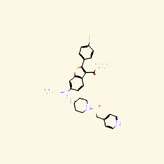 CNC(=O)c1c(-c2ccc(F)cc2)oc2cc(N(C)SC)c([C@H]3CCCN([S+]([O-])Cc4ccncc4)C3)cc12